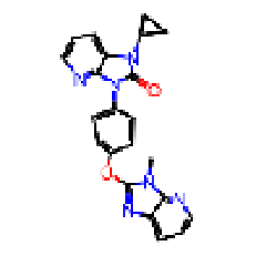 Cn1c(Oc2ccc(-n3c(=O)n(C4CC4)c4cccnc43)cc2)nc2cccnc21